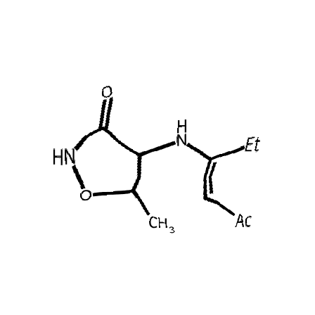 CCC(=CC(C)=O)NC1C(=O)NOC1C